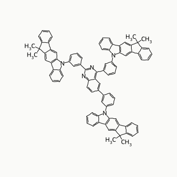 CC1(C)c2ccccc2-c2cc3c(cc21)c1ccccc1n3-c1cccc(-c2ccc3nc(-c4cccc(-n5c6ccccc6c6cc7c(cc65)-c5ccccc5C7(C)C)c4)nc(-c4cccc(-n5c6ccccc6c6cc7c(cc65)-c5ccccc5C7(C)C)c4)c3c2)c1